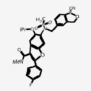 CNC(=O)c1c(-c2ccc(F)cc2)oc2cc(N(Cc3ccc4c(c3)COB4O)S(C)(=O)=O)c(OC(C)C)cc12